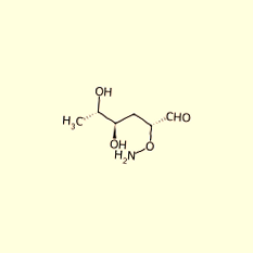 C[C@H](O)[C@H](O)C[C@H](C=O)ON